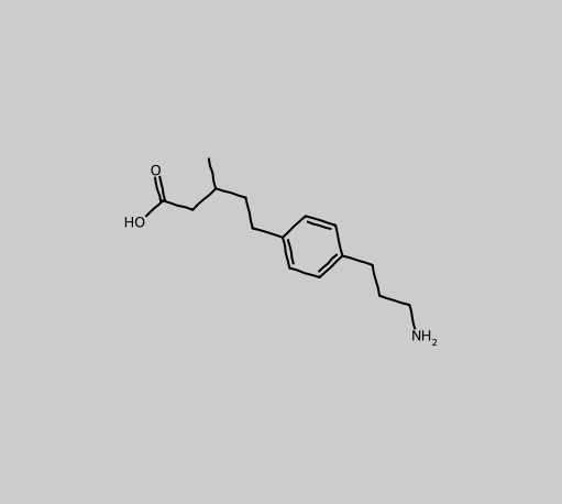 CC(CCc1ccc(CCCN)cc1)CC(=O)O